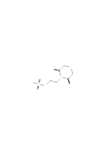 CS(=O)(=O)OCCN1C(=O)COCC1=O